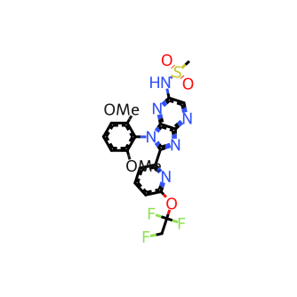 COc1cccc(OC)c1-n1c(-c2cccc(OC(F)(F)CF)n2)nc2ncc(NS(C)(=O)=O)nc21